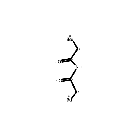 CCC(C)CC(=O)[N]C(=O)CC(C)CC